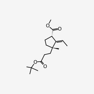 C/C=C1/[C@@H](C(=O)OC)CC[C@@]1(C)CCC(=O)OC(C)(C)C